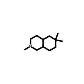 CN1CCC2CC(C)(C)CCC2C1